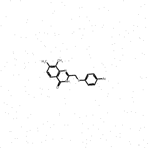 CC(=O)c1ccc(SCc2nc3c(C)c(C)ccc3c(=O)[nH]2)cc1